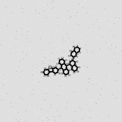 c1ccc2cc(-c3cc(-c4c5ccccc5c(-c5ccc6c(c5)oc5ccccc56)c5ccccc45)c4ccccc4c3)ccc2c1